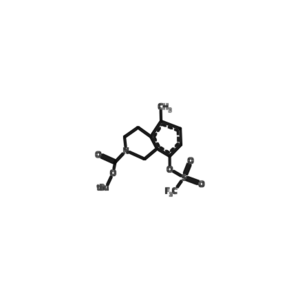 Cc1ccc(OS(=O)(=O)C(F)(F)F)c2c1CCN(C(=O)OC(C)(C)C)C2